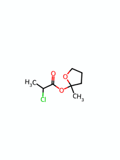 CC(Cl)C(=O)OC1(C)CCCO1